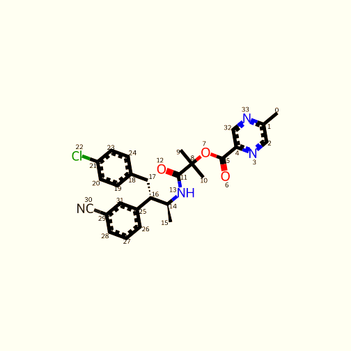 Cc1cnc(C(=O)OC(C)(C)C(=O)N[C@@H](C)[C@@H](Cc2ccc(Cl)cc2)c2cccc(C#N)c2)cn1